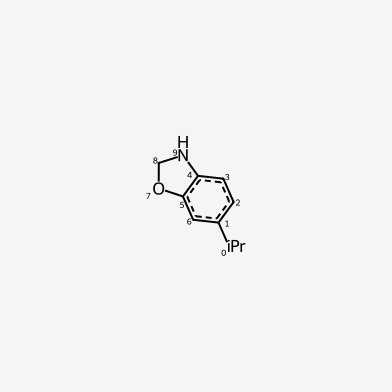 CC(C)c1ccc2c(c1)OCN2